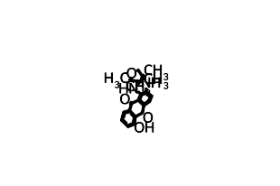 CC1(C)COC(C)(C)C12Nc1ccc3c(c1N2)C(=O)c1cccc(O)c1C3=O